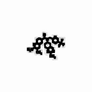 Cc1cc2cc(C(=O)N(Cc3ccc(C(F)(F)F)cn3)[C@@H]3CCc4nc(N)ncc4C3)ccc2nc1N